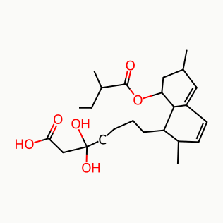 CCC(C)C(=O)OC1CC(C)C=C2C=CC(C)C(CCCCC(O)(O)CC(=O)O)C21